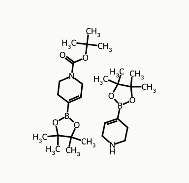 CC(C)(C)OC(=O)N1CC=C(B2OC(C)(C)C(C)(C)O2)CC1.CC1(C)OB(C2=CCNCC2)OC1(C)C